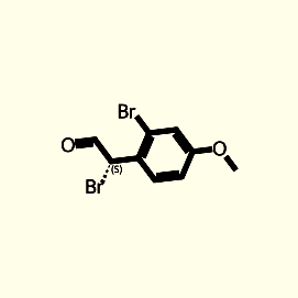 COc1ccc([C@H](Br)C=O)c(Br)c1